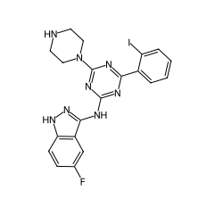 Fc1ccc2[nH]nc(Nc3nc(-c4ccccc4I)nc(N4CCNCC4)n3)c2c1